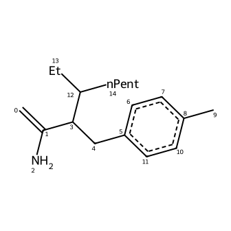 C=C(N)C(Cc1ccc(C)cc1)C(CC)CCCCC